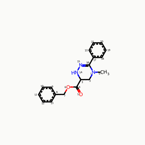 CN1CC(C(=O)OCc2ccccc2)NN=C1c1ccccc1